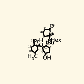 CC(C)(C)C1CCC(O)CC1.CC1CCC(C(C)C)C(O)C1.CCCCCCC1CCCC(=O)O1